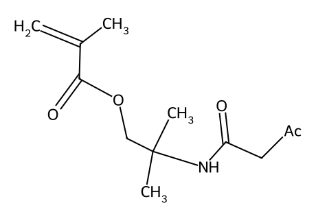 C=C(C)C(=O)OCC(C)(C)NC(=O)CC(C)=O